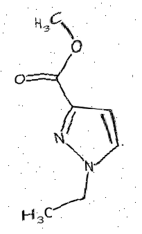 CCn1[c]cc(C(=O)OC)n1